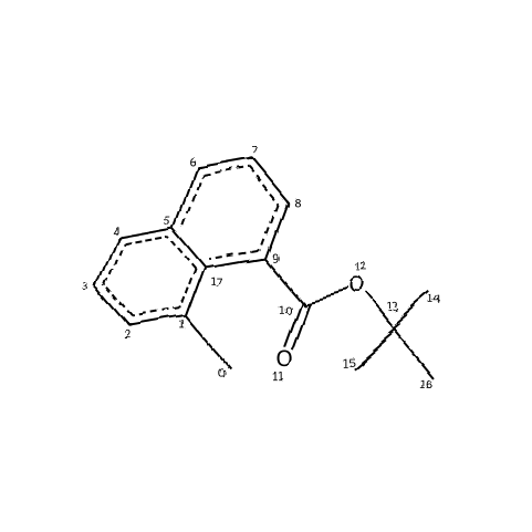 Cc1cccc2cccc(C(=O)OC(C)(C)C)c12